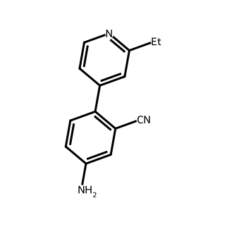 CCc1cc(-c2ccc(N)cc2C#N)ccn1